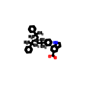 CC(C)([CH2][Sn+]([CH2]C(C)(C)c1ccccc1)[CH2]C(C)(C)c1ccccc1)c1ccccc1.O=C([O-])c1ccc2[nH]ccc2c1